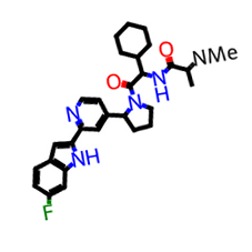 CNC(C)C(=O)NC(C(=O)N1CCCC1c1ccnc(-c2cc3ccc(F)cc3[nH]2)c1)C1CCCCC1